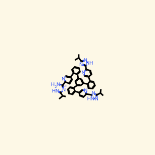 CC(C)C(=N)/N=C(\N)c1ccc(-c2ccccc2-c2cc(-c3ccccc3-c3ccc(-c4nc(C(C)C)n[nH]4)nc3)cc(-c3ccccc3-c3ccc(-c4nc(C(C)C)n[nH]4)nc3)c2)cn1